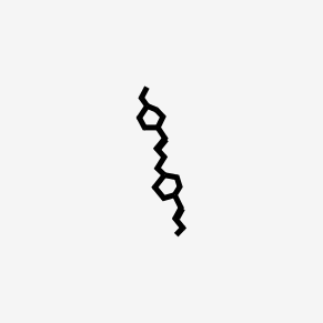 CCC=CC1CCC(CCC=CC2CCC(CC)CC2)CC1